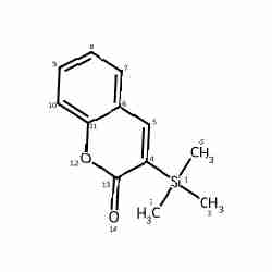 C[Si](C)(C)c1cc2ccccc2oc1=O